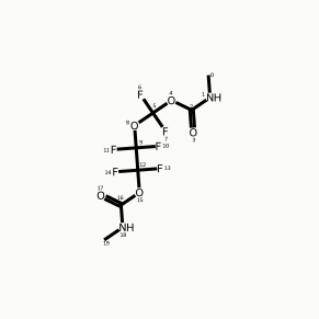 CNC(=O)OC(F)(F)OC(F)(F)C(F)(F)OC(=O)NC